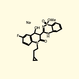 COP1(=O)N=C(C2C(=O)N(CCC3CC3)c3ccc(F)cc3C2O)Nc2ccccc21.[Na]